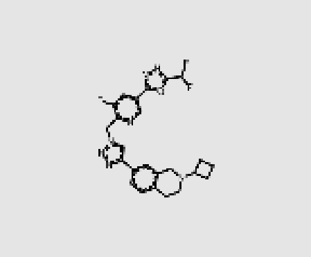 Fc1cc(-c2nnc(C(F)F)o2)cnc1Cn1cc(-c2ccc3c(c2)CN(C2CCC2)CC3)nn1